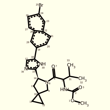 COC(=O)NC(C(=O)N1CC2(CC2)C[C@H]1c1ncc(-c2ccc3cc(Br)ccc3c2)[nH]1)C(C)C